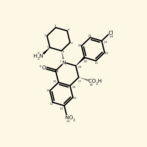 N[C@H]1CCCC[C@@H]1N1C(=O)c2ccc([N+](=O)[O-])cc2[C@@H](C(=O)O)[C@@H]1c1ccc(Cl)cc1